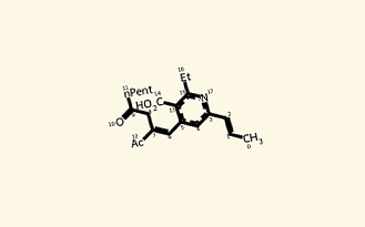 CC=Cc1cc(C=C(CC(=O)CCCCC)C(C)=O)c(C(=O)O)c(CC)n1